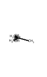 CCCCCCCCCCCCO[C@H]1O[C@H]([C@H](O)CN)[C@@H]2OC(C)(C)O[C@H]12